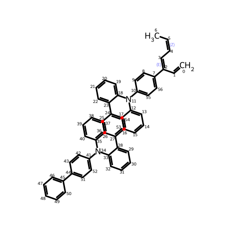 C=C/C(=C\C=C/C)c1ccc(N(c2ccccc2)c2ccccc2-c2ccc(-c3ccccc3N(c3ccccc3)c3ccc(-c4ccccc4)cc3)cc2)cc1